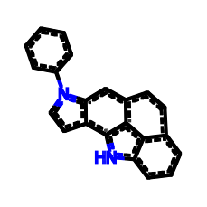 c1ccc(-n2ccc3c4[nH]c5cccc6ccc(cc32)c4c65)cc1